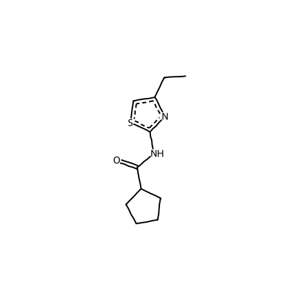 CCc1csc(NC(=O)C2CCCC2)n1